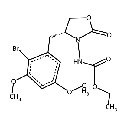 CCOC(=O)NN1C(=O)OC[C@H]1Cc1cc(OC)cc(OC)c1Br